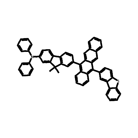 CC1(C)c2cc(-c3c4ccccc4c(-c4ccc5sc6ccccc6c5c4)c4cc5ccccc5cc34)ccc2-c2ccc(N(c3ccccc3)c3ccccc3)cc21